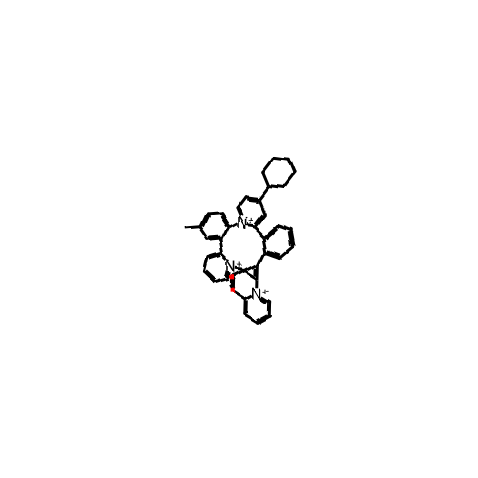 Cc1ccc2c(c1)-c1cccc[n+]1C13C(=C1[n+]1ccccc1-c1ccccc13)c1ccccc1-c1cc(C3CCCCC3)cc[n+]1-2